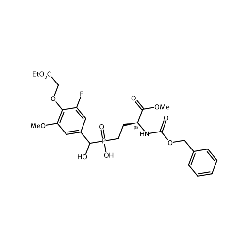 CCOC(=O)COc1c(F)cc(C(O)P(=O)(O)CC[C@H](NC(=O)OCc2ccccc2)C(=O)OC)cc1OC